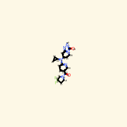 Cn1nc2cc(N(c3ccc(C(=O)N4CCC(F)(F)C4)cn3)C3CC3)ccn2c1=O